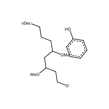 CCCCCCCCCCCCCC(CC(CC[O])OC)OC.Oc1ccccc1